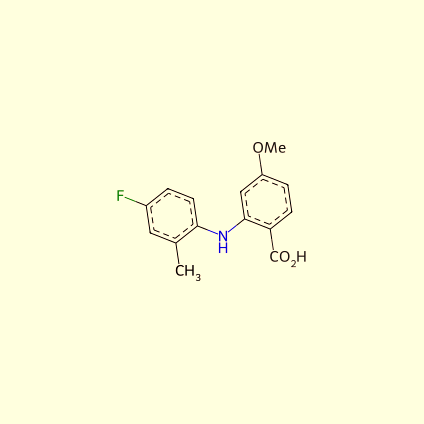 COc1ccc(C(=O)O)c(Nc2ccc(F)cc2C)c1